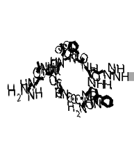 CC(=O)N[C@@H](CCCNC(=N)N)C(=O)N[C@H]1CCC(=O)NCCC[C@@H](C(N)=O)NC(=O)[C@H](Cc2c[nH]c3ccccc23)NC(=O)[C@H](CCCNC(=N)N)NC(=O)[C@@H](Cc2ccccc2)NC(O)[C@H](CCS(C)(=O)=O)NC1=O